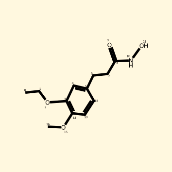 CCOc1cc(CCC(=O)NO)ccc1OC